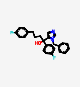 OC(CCCc1ccc(F)cc1)(c1ccc(F)cc1)c1cncn1Cc1ccccc1